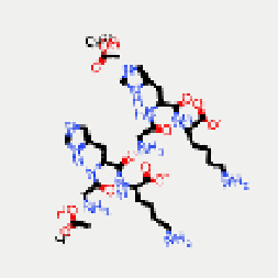 CC(=O)O.CC(=O)O.NCCCCC(NC(=O)C(Cc1cnc[nH]1)NC(=O)CN)C(=O)[O-].NCCCCC(NC(=O)C(Cc1cnc[nH]1)[N-]C(=O)CN)C(=O)[O-].[Cu+2].[H+]